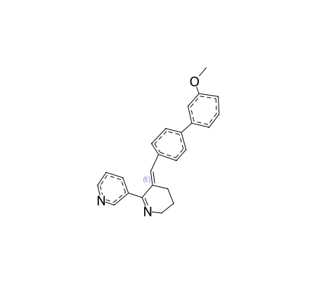 COc1cccc(-c2ccc(/C=C3\CCCN=C3c3cccnc3)cc2)c1